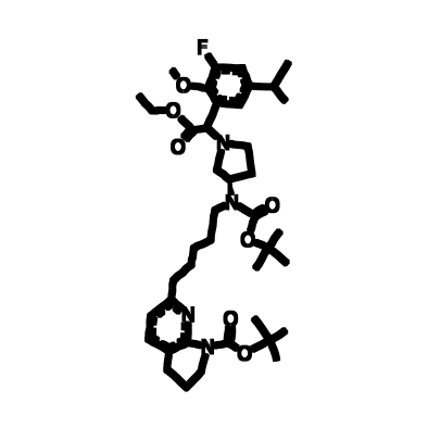 CCOC(=O)C(c1cc(C(C)C)cc(F)c1OC)N1CC[C@@H](N(CCCCCc2ccc3c(n2)N(C(=O)OC(C)(C)C)CCC3)C(=O)OC(C)(C)C)C1